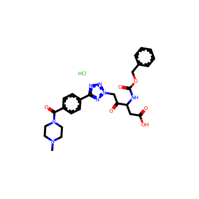 CN1CCN(C(=O)c2ccc(-c3nnn(CC(=O)C(CC(=O)O)NC(=O)OCc4ccccc4)n3)cc2)CC1.Cl